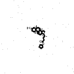 C[C@H](CCC(=O)OC1CCCC1)[C@H]1CC[C@H]2[C@@H]3CC[C@@H]4C[C@H](O)CC[C@]4(C)[C@H]3CC[C@]12C